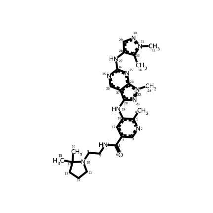 Cc1ncc(C(=O)NCCN2CCCC2(C)C)cc1Nc1nn(C)c2nc(Nc3cnn(C)c3C)ncc12